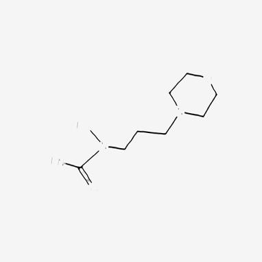 NC(=O)N(S)CCCN1CCOCC1